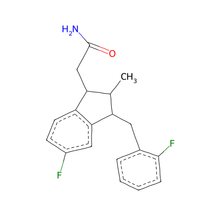 CC1C(CC(N)=O)c2ccc(F)cc2C1Cc1ccccc1F